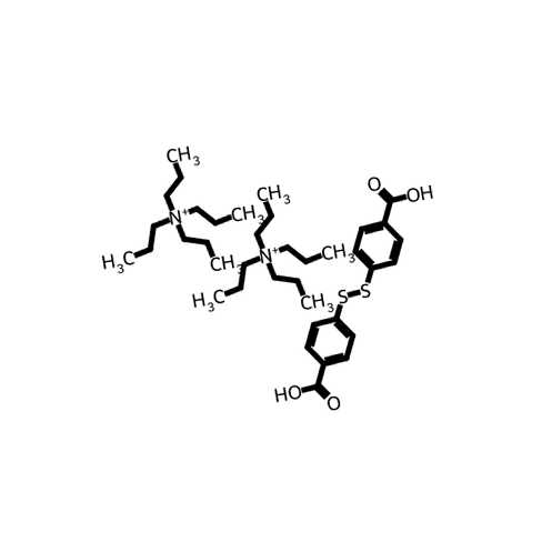 CCC[N+](CCC)(CCC)CCC.CCC[N+](CCC)(CCC)CCC.O=C(O)c1ccc(SSc2ccc(C(=O)O)cc2)cc1